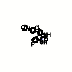 O=C1Nc2cc(Cl)c(-c3ccc(N4CCOCC4)cc3)cc2/C1=C(/O)c1cccc(F)c1